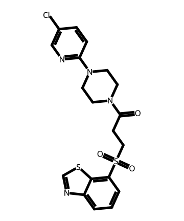 O=C(CCS(=O)(=O)c1cccc2ncsc12)N1CCN(c2ccc(Cl)cn2)CC1